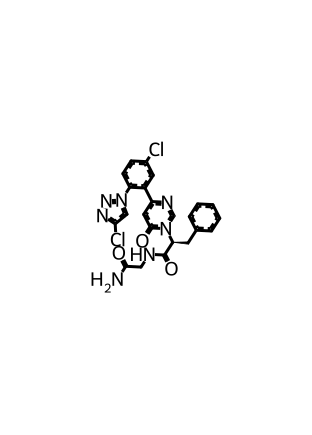 NC(=O)CNC(=O)[C@H](Cc1ccccc1)n1cnc(-c2cc(Cl)ccc2-n2cc(Cl)nn2)cc1=O